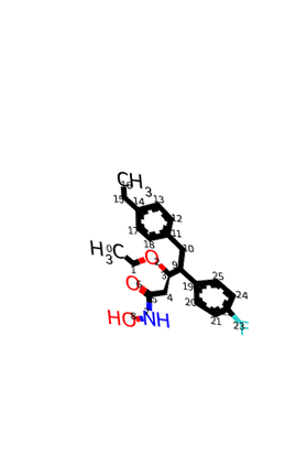 CCO[C@H](CC(=O)NO)C(Cc1ccc(CC)cc1)c1ccc(F)cc1